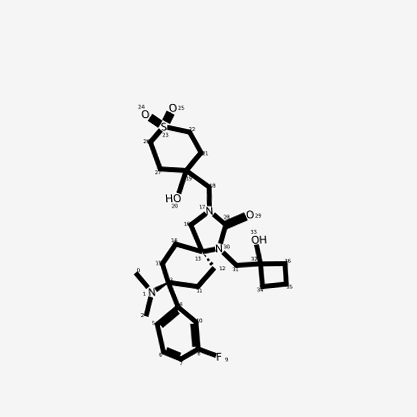 CN(C)[C@]1(c2cccc(F)c2)CC[C@]2(CC1)CN(CC1(O)CCS(=O)(=O)CC1)C(=O)N2CC1(O)CCC1